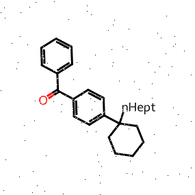 CCCCCCCC1(c2ccc(C(=O)c3ccccc3)cc2)CCCCC1